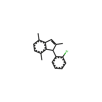 CC1=Cc2c(C)ccc(C)c2C1c1ccccc1Br